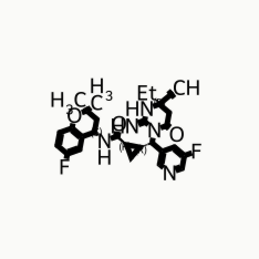 C#C[C@@]1(CC)CC(=O)N(C(c2cncc(F)c2)[C@@H]2C[C@H]2C(=O)N[C@H]2CC(C)(C)Oc3ccc(F)cc32)C(=N)N1